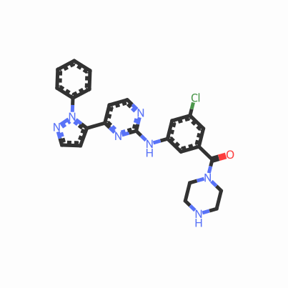 O=C(c1cc(Cl)cc(Nc2nccc(-c3ccnn3-c3ccccc3)n2)c1)N1CCNCC1